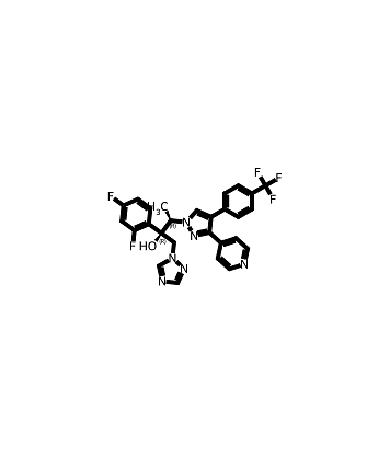 C[C@@H](n1cc(-c2ccc(C(F)(F)F)cc2)c(-c2ccncc2)n1)[C@](O)(Cn1cncn1)c1ccc(F)cc1F